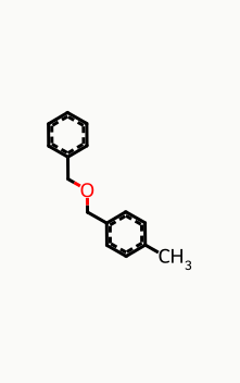 Cc1ccc(COCc2ccccc2)cc1